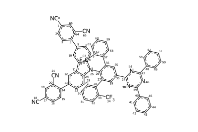 N#Cc1ccc(-c2ccc3c(c2)c2cc(-c4ccc(C#N)cc4C#N)ccc2n3-c2c(-c3ccccc3C(F)(F)F)cc(-c3nc(-c4ccccc4)nc(-c4ccccc4)n3)cc2-c2ccccc2C(F)(F)F)c(C#N)c1